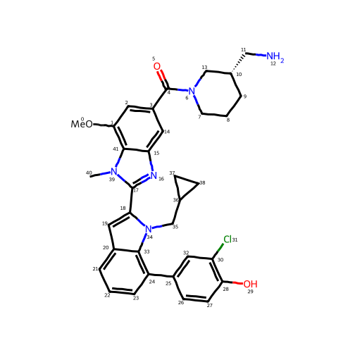 COc1cc(C(=O)N2CCC[C@@H](CN)C2)cc2nc(-c3cc4cccc(-c5ccc(O)c(Cl)c5)c4n3CC3CC3)n(C)c12